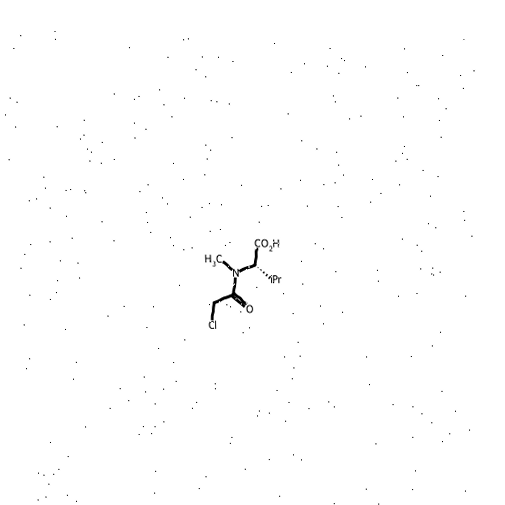 CC(C)[C@@H](C(=O)O)N(C)C(=O)CCl